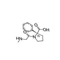 CNCC(=O)N1CCC[C@]1(C(=O)O)c1ccccc1